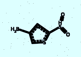 Bc1csc([SH](=O)=O)c1